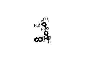 COc1ccc(C(=O)Nc2ccc(-c3n[nH]cc3-c3nc4cc5ccccc5cc4o3)cc2)cc1OC